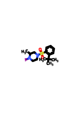 CC1CN(S(=O)(=O)c2ccccc2C(C)(C)C)CCN1I